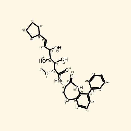 CO[C@@H](C(=O)N[C@H]1COc2cccc(-c3ccccc3)c2NC1=O)[C@H](O)[C@@H](O)[C@H](O)C=CC1CCCC1